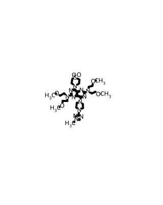 COCCN(CCOC)c1nc(N2CCS(=O)(=O)CC2)c2nc(N(CCOC)CCOC)nc(N3CCN(c4ncn(C)n4)CC3)c2n1